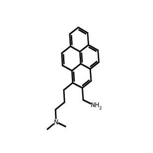 CN(C)CCCc1c(CN)cc2ccc3cccc4ccc1c2c34